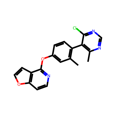 Cc1cc(Oc2nccc3occc23)ccc1-c1c(C)ncnc1Cl